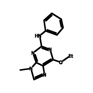 CCOc1nc(Nc2ccccc2)nc2c1ncn2C